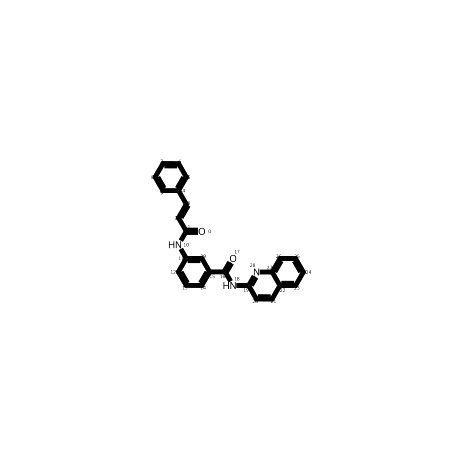 O=C(C=Cc1ccccc1)Nc1cccc(C(=O)Nc2ccc3ccccc3n2)c1